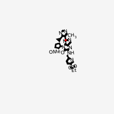 CCS(=O)(=O)c1ccc(CNc2nc3cnc(-c4c(C)ncnc4C4CC4)nc3n(C3CCC[C@@H]3OC)c2=O)nc1